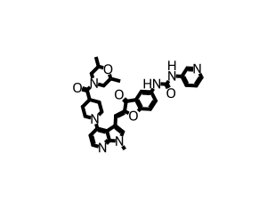 CC1CN(C(=O)C2CCN(c3ccnc4c3c(/C=C3\Oc5ccc(NC(=O)Nc6cccnc6)cc5C3=O)cn4C)CC2)CC(C)O1